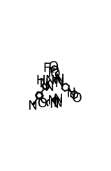 CC(Cn1cnnn1)Oc1cc(-c2cnc(Nc3cn(C4CCC(N5CCOCC5)CC4)nc3OCCOC(F)F)nc2)ccc1C#N